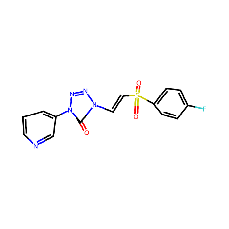 O=c1n(/C=C/S(=O)(=O)c2ccc(F)cc2)nnn1-c1cccnc1